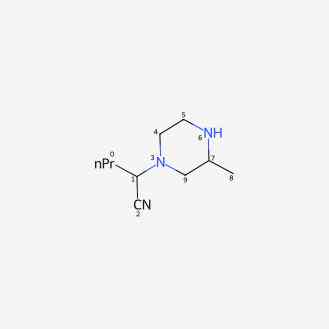 CCCC(C#N)N1CCNC(C)C1